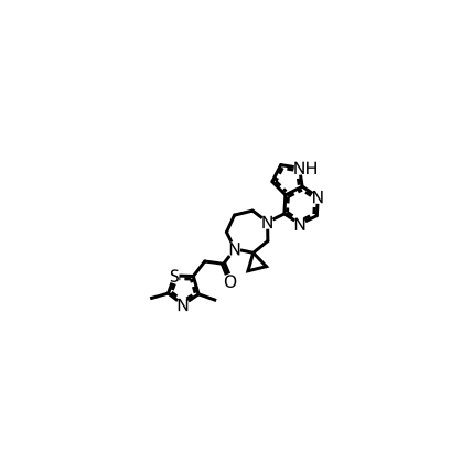 Cc1nc(C)c(CC(=O)N2CCCN(c3ncnc4[nH]ccc34)CC23CC3)s1